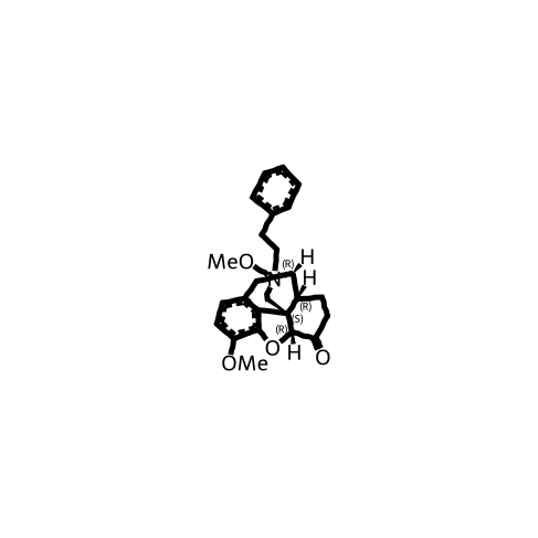 COc1ccc2c3c1O[C@H]1C(=O)CC[C@H]4[C@@H](C2)[N+](CCc2ccccc2)(OC)CC[C@]314